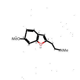 CNCCc1cc2ccc(OC)cc2o1